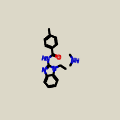 CCn1c(NC(=O)c2ccc(C)cc2)nc2ccccc21.CNC